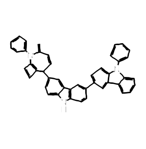 C=C1C=CC(c2ccc3[nH]c4ccc(-c5ccc6c(c5)c5ccccc5n6-c5ccccc5)cc4c3c2)C2=C(C=C2)N1c1ccccc1